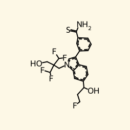 NC(=S)c1cccc(-c2cn(CC(CO)(C(F)F)C(F)F)c3cc(C(O)CCF)ccc23)c1